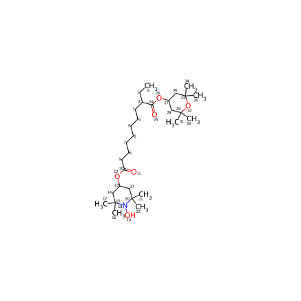 CCC(CCCCCCCC(=O)OC1CC(C)(C)N(O)C(C)(C)C1)C(=O)OC1CC(C)(C)OC(C)(C)C1